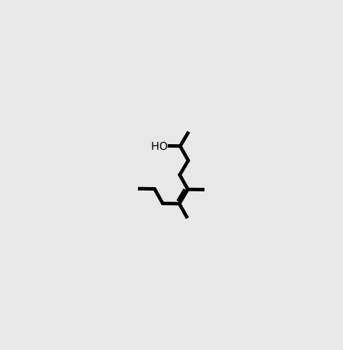 CCCC(C)=C(C)CCC(C)O